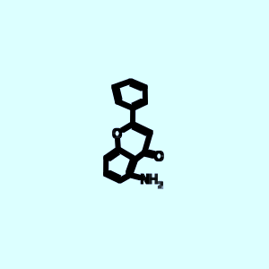 Nc1cccc2oc(-c3ccccc3)cc(=O)c12